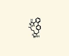 CCCCc1nn[nH]c1Cc1ccc(-c2ccccc2-c2nnn[nH]2)cc1